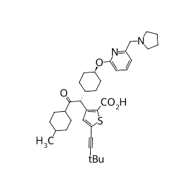 CC1CCC(C(=O)C(c2cc(C#CC(C)(C)C)sc2C(=O)O)[C@H]2CC[C@H](Oc3cccc(CN4CCCC4)n3)CC2)CC1